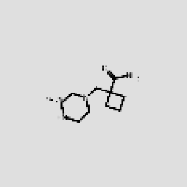 C[C@@H]1CN(CC2(C(N)=O)CCC2)CCN1